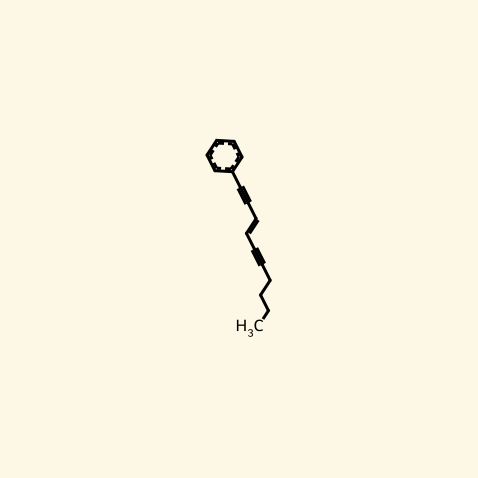 CCCCC#CC=CC#Cc1ccccc1